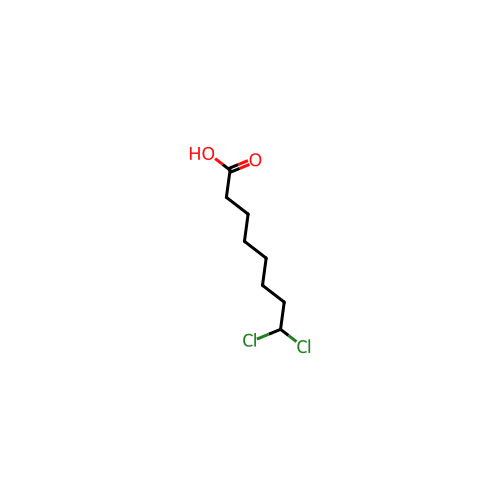 O=C(O)CCCCCCC(Cl)Cl